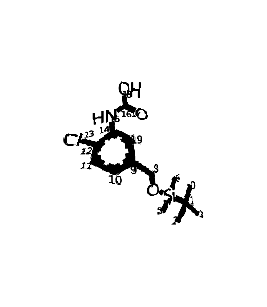 CC(C)(C)[Si](C)(C)OCc1ccc(Cl)c(NC(=O)O)c1